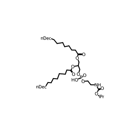 CCCCCCCCCCCCCCCCCC(=O)OCC(COP(=O)(O)OCCNC(=O)OC(C)C)OC(=O)CCCCCCCCCCCCCCCCC